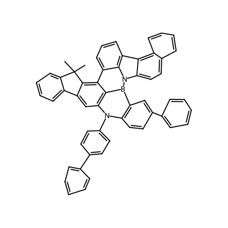 CC1(C)c2ccccc2-c2cc3c4c(c21)-c1cccc2c5c6ccccc6ccc5n(c12)B4c1cc(-c2ccccc2)ccc1N3c1ccc(-c2ccccc2)cc1